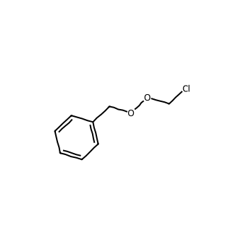 ClCOOCc1ccccc1